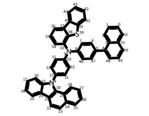 c1ccc2c(-c3ccc(N(c4ccc(-n5c6ccccc6c6ccc7ccccc7c65)cc4)c4cccc5c4sc4ccccc45)cc3)cccc2c1